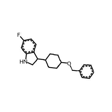 Fc1ccc2c(c1)NCC2C1CCC(OCc2ccccc2)CC1